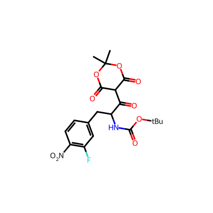 CC(C)(C)OC(=O)NC(Cc1ccc([N+](=O)[O-])c(F)c1)C(=O)C1C(=O)OC(C)(C)OC1=O